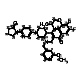 COc1cc(CN(Cc2cn3c4c(c(F)c(F)cc4c2=O)OCC3C)[C@H]2CCCN(c3ccc(N4CCCC4=O)nc3)C2)ccn1